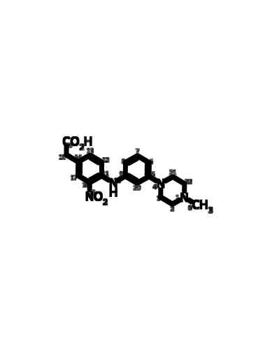 CN1CCN(c2cccc(Nc3ccc(CC(=O)O)cc3[N+](=O)[O-])c2)CC1